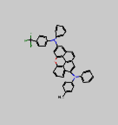 Cc1ccc(N(c2ccccc2)c2cc3ccc4cc(N(c5ccccc5)c5ccc(C(F)(F)F)cc5)cc5c4c3c3c(cccc23)O5)cc1